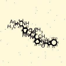 CC(=O)C(C)N1CCNC(c2ccc(Nc3nc(-c4cccc(NC(=O)c5cc6c(s5)CCCCC6)c4C)cn(C)c3=O)cc2)C1